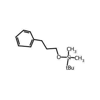 CC(C)(C)[Si](C)(C)OCCCc1ccccc1